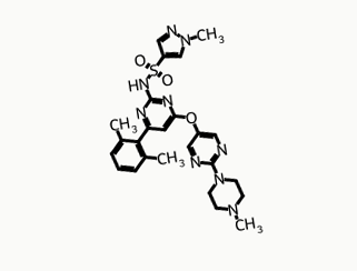 Cc1cccc(C)c1-c1cc(Oc2cnc(N3CCN(C)CC3)nc2)nc(NS(=O)(=O)c2cnn(C)c2)n1